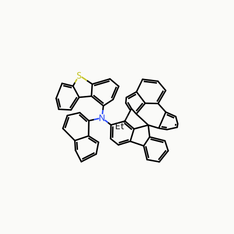 CCc1ccc2cccc3c2c1C1(c2ccccc2-c2ccc(N(c4cccc5ccccc45)c4cccc5sc6ccccc6c45)cc21)c1ccccc1-3